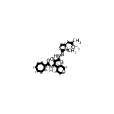 CC(C)C[C@@H]1CS/C(=N\NC(=O)C(=O)C(NC(=O)C2CCCCCC2)C2CCOCC2)N1C